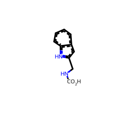 O=C(O)NCc1cc2ccccc2[nH]1